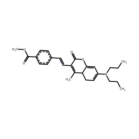 CCCN(CCC)C1=CCC2C(=C1)OC(=O)C(/C=C/c1ccc(C(=O)OC)cc1)=C2C